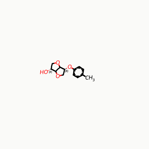 Cc1ccc(O[C@@H]2COC3C2OC[C@H]3O)cc1